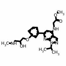 CNCC(O)COc1cccc(-c2cc(NCC(=O)OC)c3cnn(C(C)C)c3n2)c1